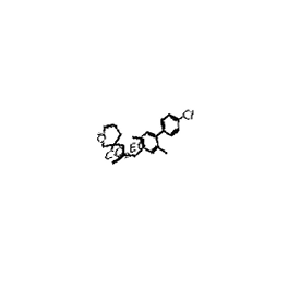 C=C(Cc1cc(C)c(-c2ccc(Cl)cc2)cc1C)CC1(C(=O)OCC)CCCOC1